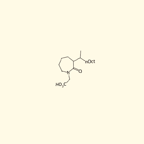 CCCCCCCCC(C)C1CCCCN(CC(=O)O)C1=O